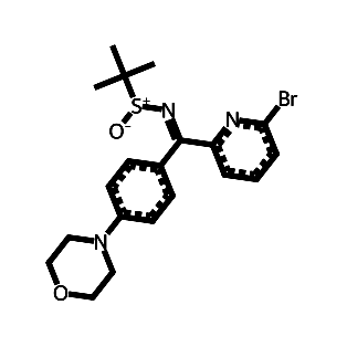 CC(C)(C)[S+]([O-])/N=C(\c1ccc(N2CCOCC2)cc1)c1cccc(Br)n1